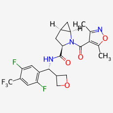 Cc1noc(C)c1C(=O)N1[C@@H](C(=O)N[C@@H](c2cc(F)c(C(F)(F)F)cc2F)C2COC2)C[C@H]2C[C@H]21